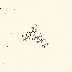 CN1C(c2ccccc2)=CSC1Br.OB(O)F.OB(O)F.OB(O)F.OB(O)F